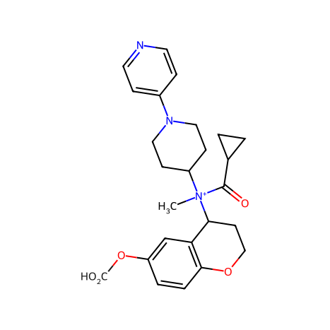 C[N+](C(=O)C1CC1)(C1CCN(c2ccncc2)CC1)C1CCOc2ccc(OC(=O)O)cc21